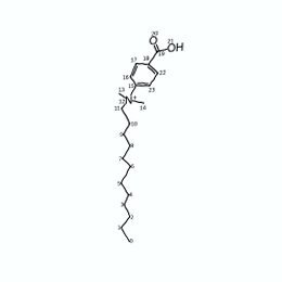 CCCCCCCCCCCC[N+](C)(C)c1ccc(C(=O)O)cc1